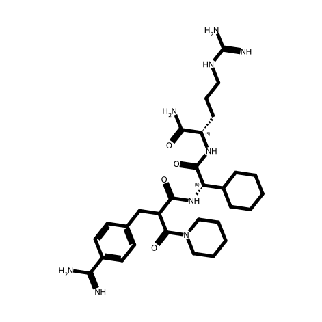 N=C(N)NCCC[C@H](NC(=O)[C@@H](NC(=O)C(Cc1ccc(C(=N)N)cc1)C(=O)N1CCCCC1)C1CCCCC1)C(N)=O